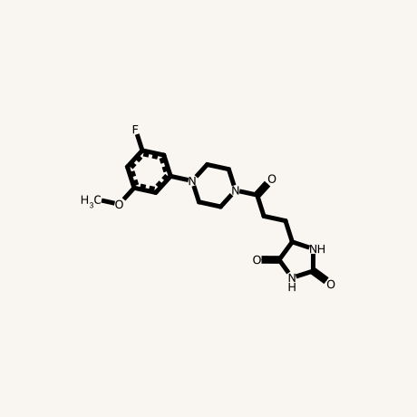 COc1cc(F)cc(N2CCN(C(=O)CCC3NC(=O)NC3=O)CC2)c1